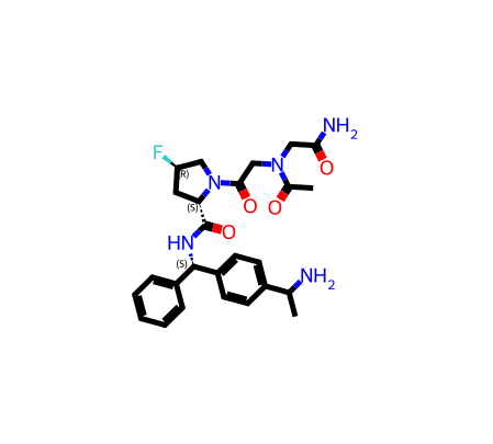 CC(=O)N(CC(N)=O)CC(=O)N1C[C@H](F)C[C@H]1C(=O)N[C@@H](c1ccccc1)c1ccc(C(C)N)cc1